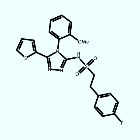 COc1ccccc1-n1c(NS(=O)(=O)CCc2ccc(F)cc2)nnc1-c1cccs1